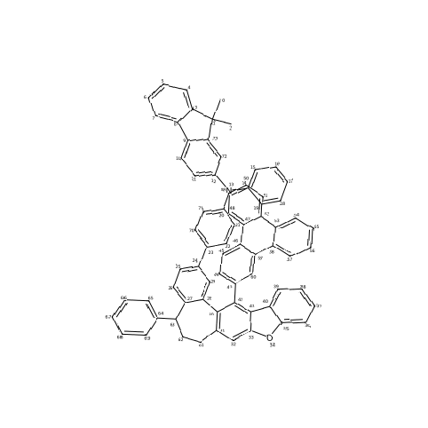 CC1(C)c2ccccc2-c2ccc(N(c3ccccc3)c3ccc(-c4ccc5c(c4)-c4c(cc6oc7ccccc7c6c4-c4ccc6c7ccccc7c7ccccc7c6c4)CCC5c4ccccc4)cc3)cc21